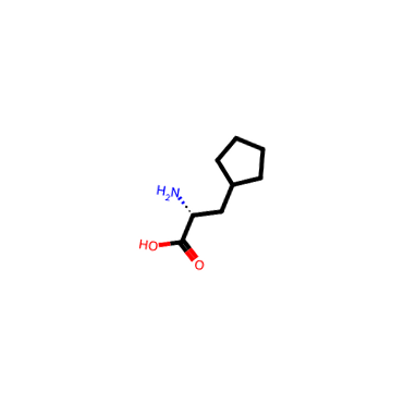 N[C@H](CC1CCCC1)C(=O)O